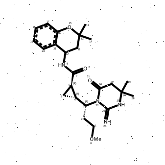 COCC[C@H]([C@@H]1C[C@H]1C(=O)NC1CC(C)(C)Oc2ccccc21)N1C(=N)NC(C)(C)CC1=O